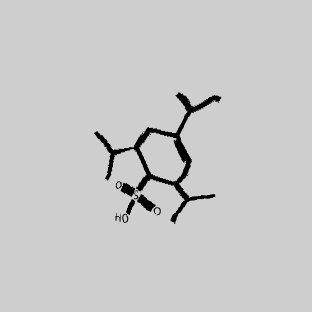 CC(C)C1=CC(C(C)C)C(S(=O)(=O)O)[C@@H](C(C)C)C1